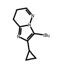 CC(C)(C)c1c(C2CC2)nc2n1N=CCC2